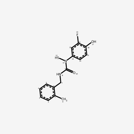 Cc1ccccc1CNC(=O)N(S)c1ccc(O)c(F)c1